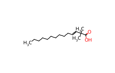 CCCCCCCCCCC=CC(C)(C)C(=O)O